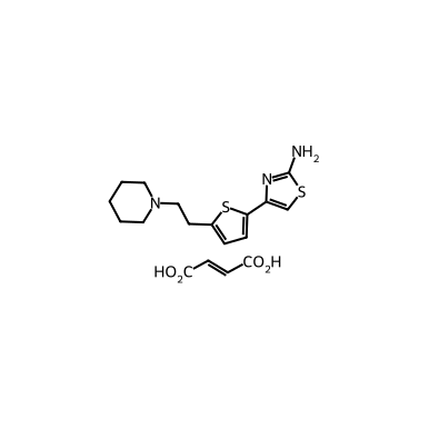 Nc1nc(-c2ccc(CCN3CCCCC3)s2)cs1.O=C(O)C=CC(=O)O